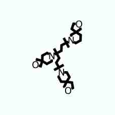 CC(C)(CCC(C)(CCC(C)(C)N1CCCC2(CCOC2)C1)N1CCC2(CC1)COC2)N1CCC2(CCOC2)CC1